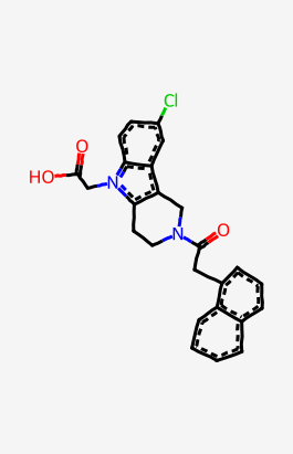 O=C(O)Cn1c2c(c3cc(Cl)ccc31)CN(C(=O)Cc1cccc3ccccc13)CC2